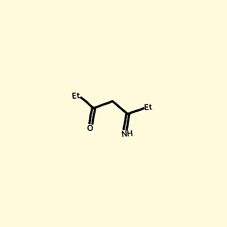 CCC(=N)CC(=O)CC